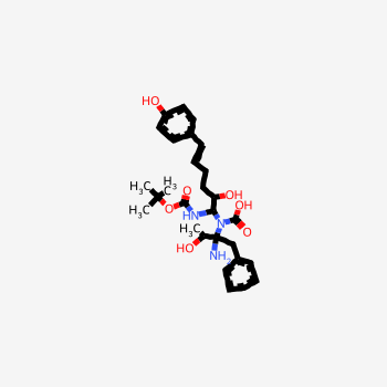 CC(O)C(N)(Cc1ccccc1)N(C(=O)O)C(NC(=O)OC(C)(C)C)C(O)CCC=Cc1ccc(O)cc1